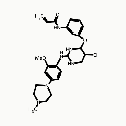 C=CC(=O)Nc1cccc(OC2NC(Nc3ccc(N4CCN(C)CC4)cc3OC)NCC2Cl)c1